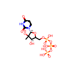 CC1(O)[C@@H](O)C(COP(=O)(O)OP(=O)(O)OP(=O)(O)O)O[C@H]1n1ccc(=O)[nH]c1=O